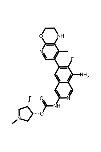 Cc1c(-c2cc3cc(NC(=O)O[C@@H]4CN(C)C[C@@H]4F)ncc3c(N)c2F)cnc2c1NCCO2